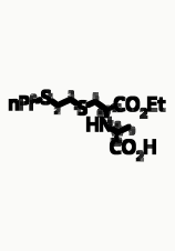 CCCSCCSC[C@H](N[C@@H](C)C(=O)O)C(=O)OCC